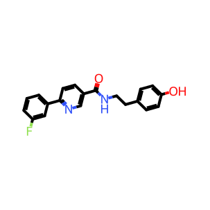 O=C(NCCc1ccc(O)cc1)c1ccc(-c2cccc(F)c2)nc1